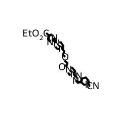 CCOC(=O)c1cnc(N2CCN(CCOCCC(=O)N3CCN(c4ncc5c(n4)CCB(C#N)C5)CC3)CC2)nc1